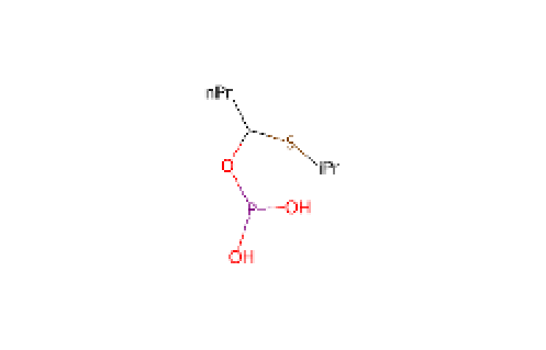 CCCC(OP(O)O)SC(C)C